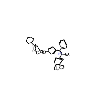 CC/C(=C(\c1ccccc1)c1ccc(OCC(O)CNC2CCCCC2)cc1)c1ccc2c(c1)OCO2